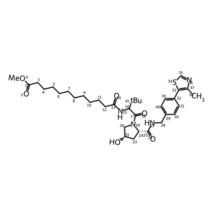 COC(=O)CCCCCCCCCCC(=O)NC(C(=O)N1C[C@H](O)C[C@H]1C(=O)NCc1ccc(-c2scnc2C)cc1)C(C)(C)C